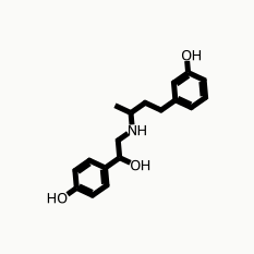 CC(CCc1cccc(O)c1)NCC(O)c1ccc(O)cc1